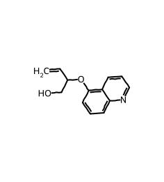 C=CC(CO)Oc1cccc2ncccc12